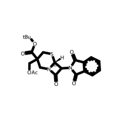 CC(=O)OCC1(C(=O)OC(C)(C)C)CS[C@@H]2C(N3C(=O)c4ccccc4C3=O)C(=O)N2C1